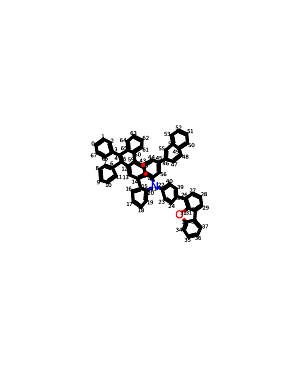 c1ccc(-c2c(-c3ccccc3)c3cc(-c4ccccc4N(c4ccc(-c5cccc6c5oc5ccccc56)cc4)c4cccc(-c5ccc6ccccc6c5)c4)ccc3c3ccccc23)cc1